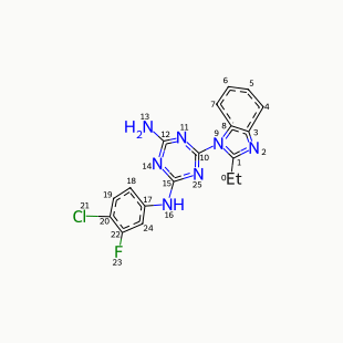 CCc1nc2ccccc2n1-c1nc(N)nc(Nc2ccc(Cl)c(F)c2)n1